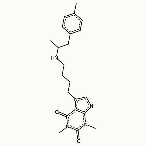 Cc1ccc(CC(C)NCCCCn2cnc3c2c(=O)n(C)c(=O)n3C)cc1